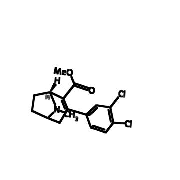 COC(=O)C1=C(c2ccc(Cl)c(Cl)c2)CC2CC[C@H]1N2C